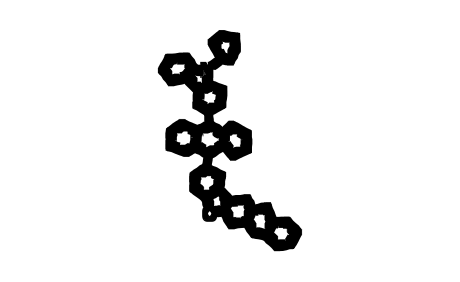 c1ccc(-n2c3ccccc3c3cc(-c4c5ccccc5c(-c5ccc6oc7cc8cc9ccccc9cc8cc7c6c5)c5ccccc45)ccc32)cc1